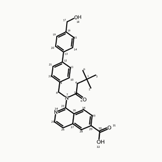 CC(C)(C)CC(=O)N(Cc1ccc(-c2ccc(CO)cc2)cc1)c1nccc2cc(C(=O)O)ccc12